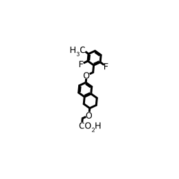 Cc1ccc(F)c(COc2ccc3c(c2)CCC(OCC(=O)O)C3)c1F